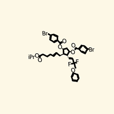 CC(C)OC(=O)CCCC=CC[C@@H]1[C@@H](C=CC(F)(F)COc2ccccc2)[C@H](OC(=O)c2ccc(Br)cc2)C[C@@H]1OC(=O)c1ccc(Br)cc1